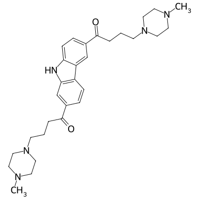 CN1CCN(CCCC(=O)c2ccc3c(c2)[nH]c2ccc(C(=O)CCCN4CCN(C)CC4)cc23)CC1